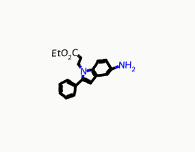 CCOC(=O)CCn1c(-c2ccccc2)cc2cc(N)ccc21